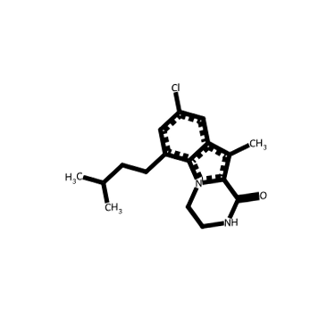 Cc1c2n(c3c(CCC(C)C)cc(Cl)cc13)CCNC2=O